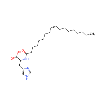 CCCCCCCC/C=C\CCCCCCCC(=O)NC(Cc1c[nH]cn1)C(=O)O